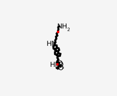 COC(=O)C(NC(=O)CCCC1CCC2C3CCC4CC(NCCCCCCCCCCN)CCC4(C)C3CCC12C)C(C)C